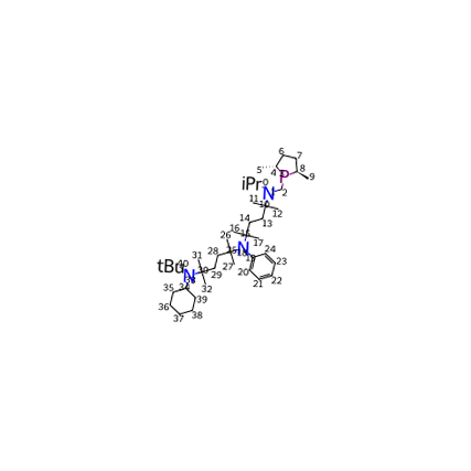 CC(C)N(CP1[C@H](C)CC[C@H]1C)C(C)(C)CCC(C)(C)N(c1ccccc1)C(C)(C)CCC(C)(C)N(C1CCCCC1)C(C)(C)C